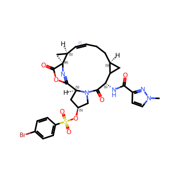 Cn1ccc(C(=O)N[C@@H]2C(=O)N3C[C@@H](OS(=O)(=O)c4ccc(Br)cc4)C[C@H]3C3=N[C@@]4(C[C@H]4/C=C\CC[C@H]4CC42)C(=O)O3)n1